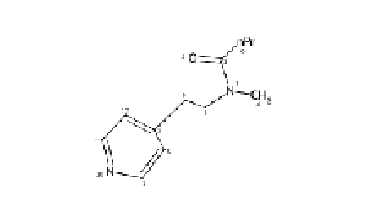 CCCC(=O)N(C)CCc1ccncc1